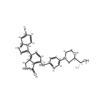 C[C@@H](O)C1CN(c2ccc(Nc3ccc(-c4cnc5cc(F)ccn45)c4c3C(=O)NC4)nc2)CCO1